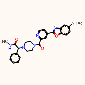 CC(=O)Nc1ccc2oc(-c3ccnc(C(=O)N4CCN(C(C(=O)NC#N)c5ccccc5)CC4)c3)nc2c1